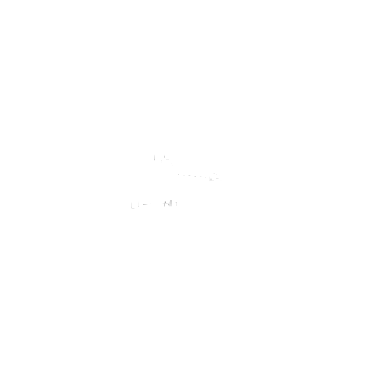 CCCCC(NCC)C(F)(F)F